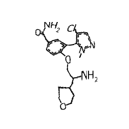 Cn1ncc(Cl)c1-c1cc(C(N)=O)ccc1OCC(N)C1CCOCC1